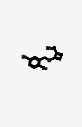 COC1=CC=C1OCc1cc(Br)ccc1C(C)=O